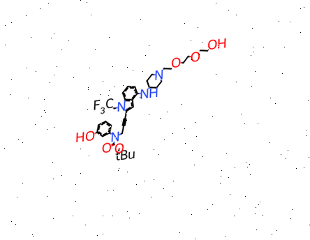 CC(C)(C)OC(=O)N(CC#Cc1cc2c(NC3CCN(CCOCCOCCO)CC3)cccc2n1CC(F)(F)F)c1cccc(O)c1